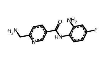 NCc1ccc(C(=O)Nc2ccc(F)cc2N)cn1